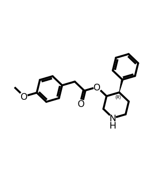 COc1ccc(CC(=O)OC2CNCC[C@@H]2c2ccccc2)cc1